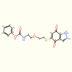 O=C(NCCOCCSC1=CC(=O)c2[nH]ncc2C1=O)Oc1ccccc1